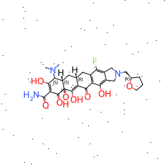 CN(C)[C@@H]1C(O)=C(C(N)=O)C(=O)[C@@]2(O)C(O)=C3C(=O)c4c(O)c5c(c(F)c4C[C@H]3C[C@@H]12)CN(C[C@H]1CCCO1)C5